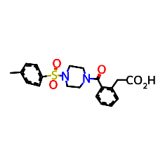 Cc1ccc(S(=O)(=O)N2CCN(C(=O)c3ccccc3CC(=O)O)CC2)cc1